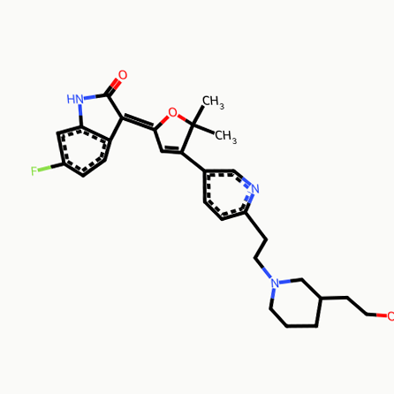 CC1(C)OC(=C2C(=O)Nc3cc(F)ccc32)C=C1c1ccc(CCN2CCCC(CCO)C2)nc1